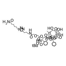 CC(=O)O[C@@]12CO[C@@H]1C[C@H](O)[C@@]1(C)C(=O)[C@H](O)C3=C(C)[C@@H](OC(=O)[C@H](OC(=O)COCC(=O)NCCCc4cn(CCCCCC(N)=O)nn4)[C@@H](NC(=O)OC(C)(C)C)c4ccccc4)C[C@@](O)([C@@H](OC(=O)c4ccccc4)[C@H]21)C3(C)C